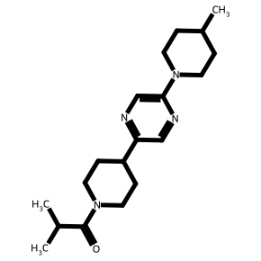 CC1CCN(c2cnc(C3CCN(C(=O)C(C)C)CC3)cn2)CC1